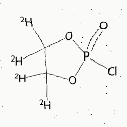 [2H]C1([2H])OP(=O)(Cl)OC1([2H])[2H]